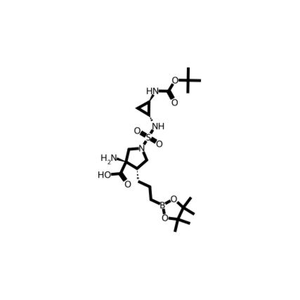 CC(C)(C)OC(=O)N[C@@H]1C[C@H]1NS(=O)(=O)N1C[C@H](CCCB2OC(C)(C)C(C)(C)O2)[C@](N)(C(=O)O)C1